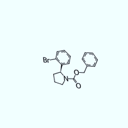 O=C(OCc1ccccc1)N1CCC[C@H]1c1ccccc1Br